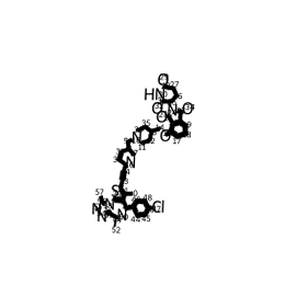 Cc1c(C#CC2=NCC(CN3CCC(COc4cccc5c4C(=O)N(C4CCC(=O)NC4=O)C5=O)CC3)C=C2)sc2c1C(c1ccc(Cl)cc1)=N[C@@H](C)c1nnc(C)n1-2